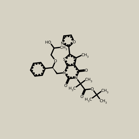 Cc1c(-c2ncco2)sc2c1c(=O)n(C(C)(C)C(=O)OC(C)(C)C)c(=O)n2C[C@H](OCC(C)O)c1ccccc1